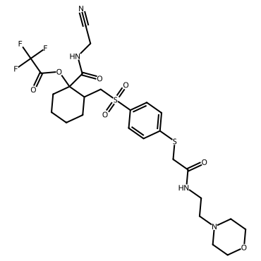 N#CCNC(=O)C1(OC(=O)C(F)(F)F)CCCCC1CS(=O)(=O)c1ccc(SCC(=O)NCCN2CCOCC2)cc1